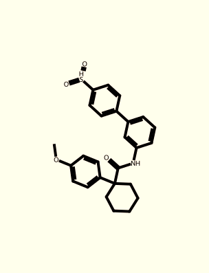 COc1ccc(C2(C(=O)Nc3cccc(-c4ccc([SH](=O)=O)cc4)c3)CCCCC2)cc1